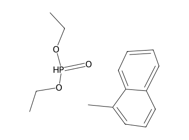 CCO[PH](=O)OCC.Cc1cccc2ccccc12